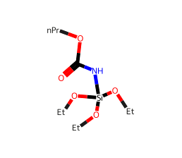 CCCOC(=O)N[Si](OCC)(OCC)OCC